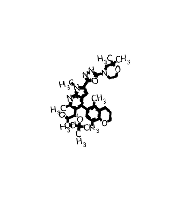 Cc1nc2c(cc(-c3nnc(N4CCOC(C)(C)C4)o3)n2C)c(-c2cc(F)c3c(c2C)CCCO3)c1[C@H](OC(C)(C)C)C(=O)O